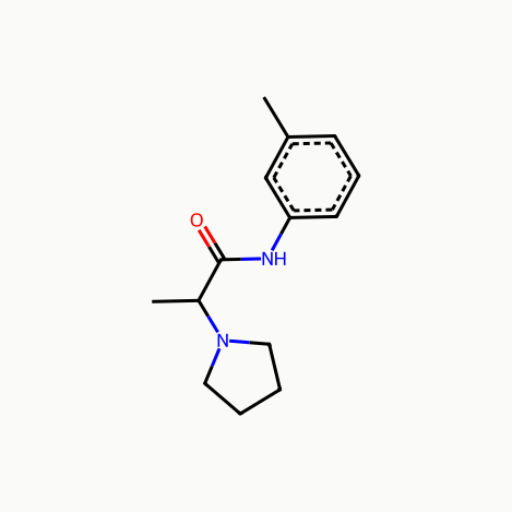 Cc1cccc(NC(=O)C(C)N2CCCC2)c1